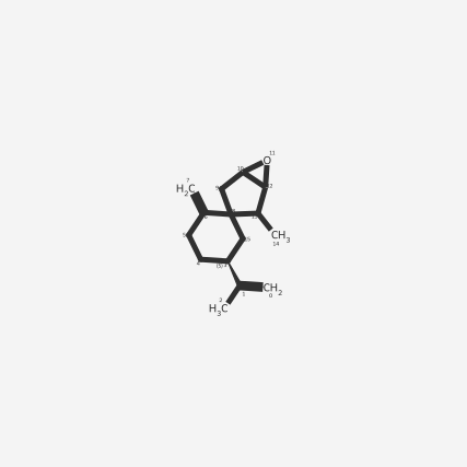 C=C(C)[C@H]1CCC(=C)C2(CC3OC3C2C)C1